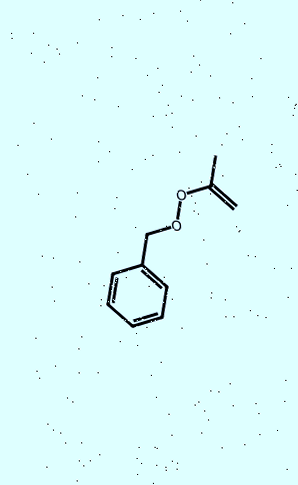 C=C(C)OOCc1ccccc1